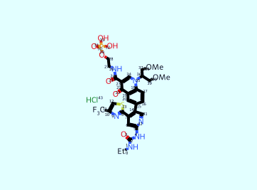 CCNC(=O)Nc1cc(-c2nc(C(F)(F)F)cs2)c(-c2ccc3c(c2)c(=O)c(C(=O)NCCOP(=O)(O)O)cn3C(COC)COC)cn1.Cl